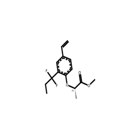 C=Cc1ccc(O[C@@H](C)C(=O)OC)c(C(F)(F)CC)c1